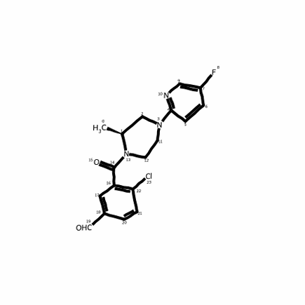 C[C@H]1CN(c2ccc(F)cn2)CCN1C(=O)c1cc(C=O)ccc1Cl